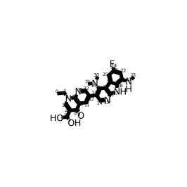 CCn1cc(C(O)O)c(=O)c2cc(-c3cnc4[nH]c5c(NC)cc(F)cc5c4c3N(C)C)cnc21